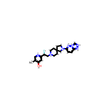 N#Cc1cnc([C@@H](F)CN2CCC3(CC2)CCN(c2ccc4nncn4n2)C3)cc1O